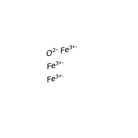 [Fe+3].[Fe+3].[Fe+3].[O-2]